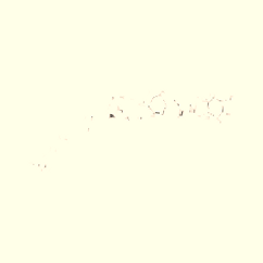 COCCOCCOCCOCCS(=O)(=O)N1CCC(c2ccc(NC(=O)N3Cc4ccc(F)cc4C3)cc2)CC1